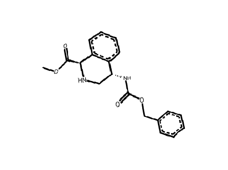 COC(=O)[C@@H]1NC[C@@H](NC(=O)OCc2ccccc2)c2ccccc21